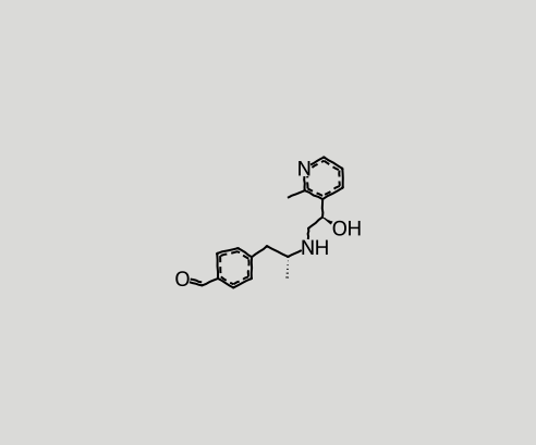 Cc1ncccc1[C@@H](O)CN[C@H](C)Cc1ccc(C=O)cc1